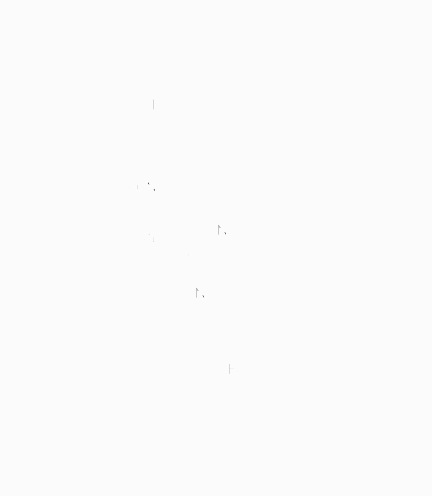 O=c1n(-c2ccccc2F)c2ccccc2n1-c1cccc(I)c1[N+](=O)[O-]